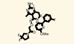 COc1cccc(-c2cc(F)ccc2[C@H]2Cc3nc(N)nc(C)c3/C(=N/OCC(=O)N3CCC(F)(F)C3)N2)n1